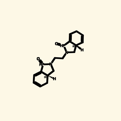 O=[PH]1C2=CC=CC[C@@H]2CN1CCN1C[C@H]2C=CCC=C2[PH]1=O